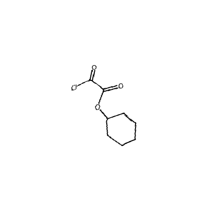 O=C(Cl)C(=O)OC1CCCCC1